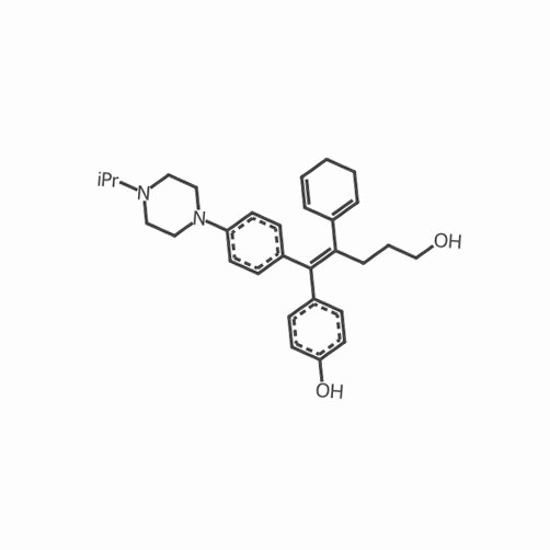 CC(C)N1CCN(c2ccc(/C(=C(/CCCO)C3=CCCC=C3)c3ccc(O)cc3)cc2)CC1